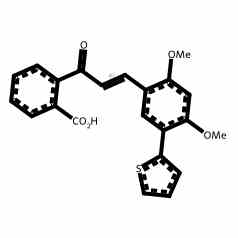 COc1cc(OC)c(-c2cccs2)cc1/C=C/C(=O)c1ccccc1C(=O)O